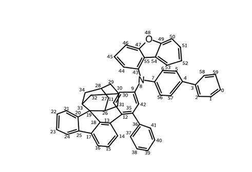 c1ccc(-c2ccc(N(c3ccc(-c4cccc5c4C4(c6ccccc6-5)C5CC6CC(C5)CC4C6)c(-c4ccccc4)c3)c3cccc4oc5ccccc5c34)cc2)cc1